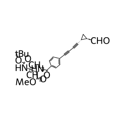 COC(=O)[C@@H](NC(=O)c1ccc(C#CC#C[C@@H]2C[C@H]2C=O)cc1)C(C)(C)NC(=O)OC(C)(C)C